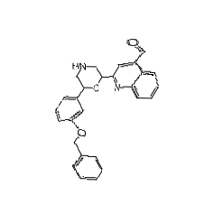 O=Cc1cc(C2CNCC(c3cccc(OCc4ccccc4)c3)O2)nc2ccccc12